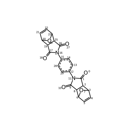 O=C1C2C3C=CC(O3)C2C(=O)N1c1ccc(N2C(=O)C3C4C=CC(O4)C3C2=O)cc1